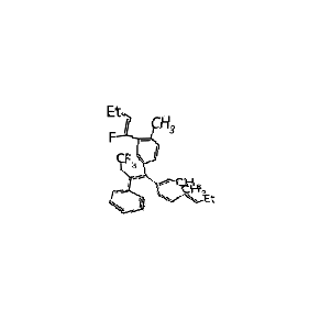 C/C=C(\C=C/C(C)=C/CC)C(=C(/CC(F)(F)F)c1ccccc1)/c1ccc(C)c(/C(F)=C/CC)c1